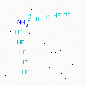 F.F.F.F.F.F.F.F.F.F.N